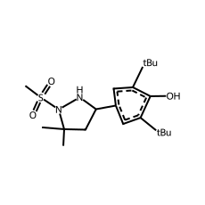 CC(C)(C)c1cc(C2CC(C)(C)N(S(C)(=O)=O)N2)cc(C(C)(C)C)c1O